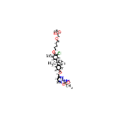 CCCCOC(=O)COCCCCCOc1c(Cl)cc(C(C)(C)c2ccc(OCc3ccnc(NS(C)(=O)=O)n3)cc2)cc1C#N